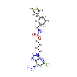 Nc1cc(Cl)nc2c1ncn2CCCCOC(=O)NCc1cccc(-c2ccsc2)c1